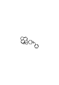 OC1(c2ccc3c4c(cccc24)CC3)CCN(Cc2ccccc2)CC1